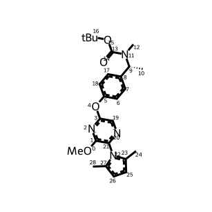 COc1nc(Oc2ccc([C@@H](C)N(C)C(=O)OC(C)(C)C)cc2)cnc1-n1c(C)ccc1C